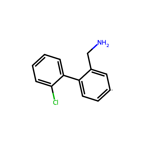 NCc1c[c]ccc1-c1ccccc1Cl